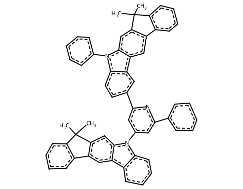 CC1(C)c2ccccc2-c2cc3c4ccccc4n(-c4cc(-c5ccccc5)nc(-c5ccc6c(c5)c5cc7c(cc5n6-c5ccccc5)C(C)(C)c5ccccc5-7)c4)c3cc21